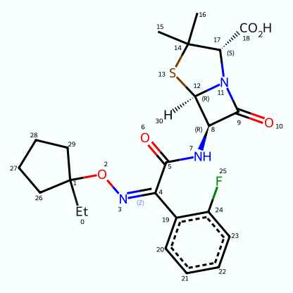 CCC1(O/N=C(\C(=O)N[C@@H]2C(=O)N3[C@@H]2SC(C)(C)[C@@H]3C(=O)O)c2ccccc2F)CCCC1